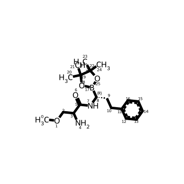 COCC(N)C(=O)N[C@@H](CCc1ccccc1)B1OC(C)(C)C(C)(C)O1